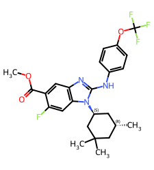 COC(=O)c1cc2nc(Nc3ccc(OC(F)(F)F)cc3)n([C@H]3C[C@H](C)CC(C)(C)C3)c2cc1F